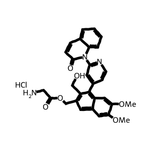 COc1cc2cc(COC(=O)CN)c(CO)c(-c3ccnc(-n4c(=O)ccc5ccccc54)c3)c2cc1OC.Cl